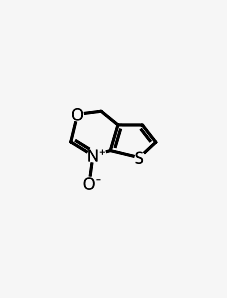 [O-][N+]1=COCc2ccsc21